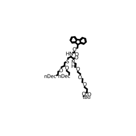 CCCCCCCCCCCCOCC(CSCC(NC(=O)OCC1c2ccccc2-c2ccccc21)C(=O)NCCOCCOCCOCCC(=O)OC(C)(C)C)OCCCCCCCCCCCC